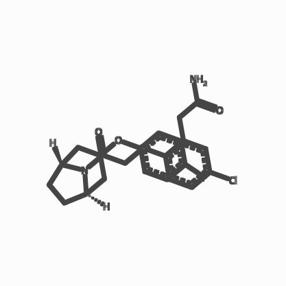 NC(=O)Cc1cc(Cl)ccc1OCC(=O)N1[C@@H]2CC[C@@H]1CC(Oc1ccc(F)cc1)C2